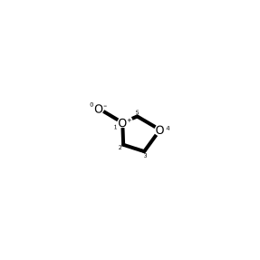 [O-][O+]1CCOC1